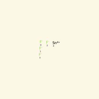 [F-].[F-].[F-].[F-].[Sn+4]